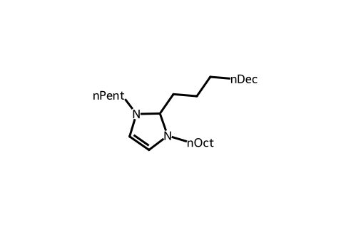 CCCCCCCCCCCCCC1N(CCCCC)C=CN1CCCCCCCC